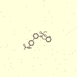 CCS(=O)(=O)N(Cc1cccnc1)c1cccc(-c2ccc(NC(C)=O)cc2)c1